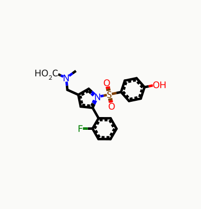 CN(Cc1cc(-c2ccccc2F)n(S(=O)(=O)c2ccc(O)cc2)c1)C(=O)O